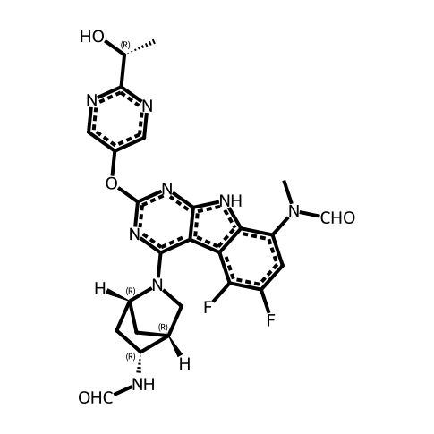 C[C@@H](O)c1ncc(Oc2nc(N3C[C@H]4C[C@@H]3C[C@H]4NC=O)c3c(n2)[nH]c2c(N(C)C=O)cc(F)c(F)c23)cn1